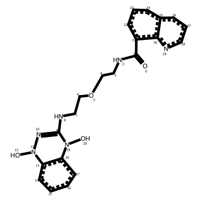 O=C(NCCOCCNC1=NN(O)c2ccccc2N1O)c1cccc2cccnc12